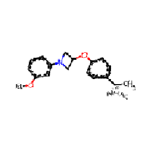 CCOc1cccc(N2CC(Oc3ccc([C@H](C)NC(C)=O)cc3)C2)c1